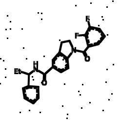 CCC(NC(=O)c1ccc2c(c1)CCN2C(=O)c1cccc(F)c1F)c1ccccc1